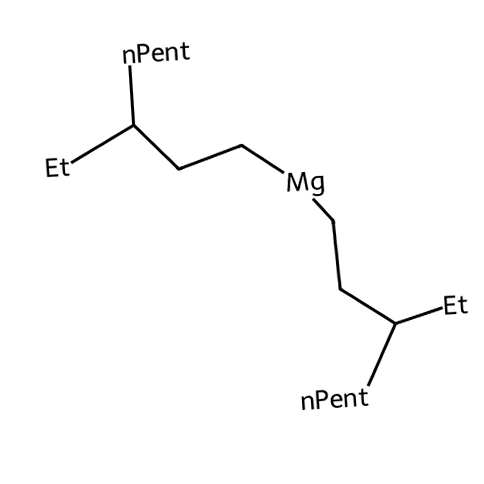 CCCCCC(CC)C[CH2][Mg][CH2]CC(CC)CCCCC